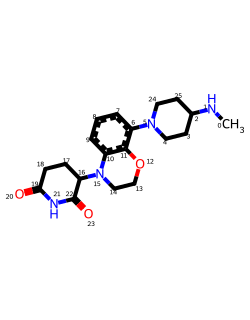 CNC1CCN(c2cccc3c2OCCN3C2CCC(=O)NC2=O)CC1